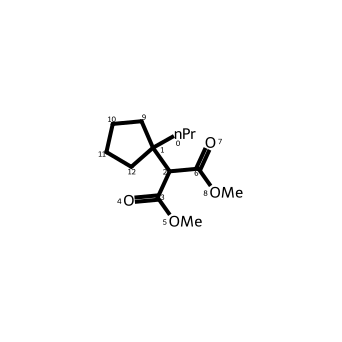 CCCC1(C(C(=O)OC)C(=O)OC)CCCC1